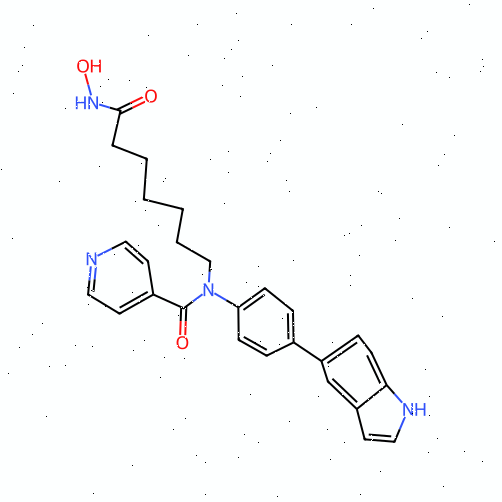 O=C(CCCCCCN(C(=O)c1ccncc1)c1ccc(-c2ccc3[nH]ccc3c2)cc1)NO